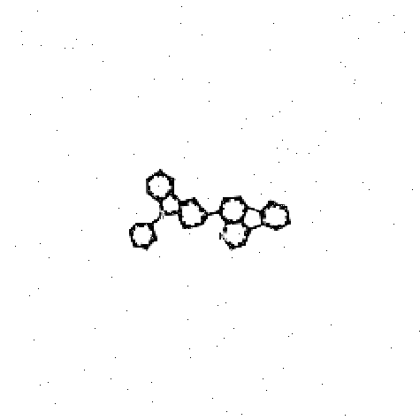 c1ccc(-n2c3ccccc3c3cc(-c4ccc5c6c(ccnc46)-c4ccccc4-5)ccc32)cc1